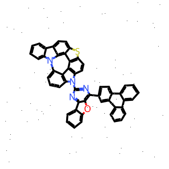 c1ccc2c(c1)oc1c(-c3ccc4c5ccccc5c5ccccc5c4c3)nc(-n3c4ccc5sc6ccc7c8ccccc8n8c9cccc3c9c4c5c6c78)nc12